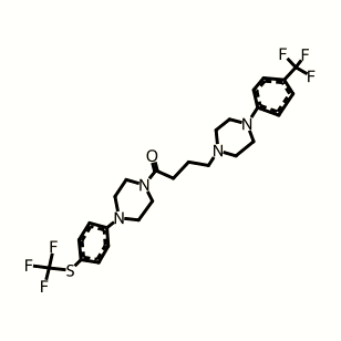 O=C(CCCN1CCN(c2ccc(C(F)(F)F)cc2)CC1)N1CCN(c2ccc(SC(F)(F)F)cc2)CC1